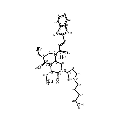 CC(C)C[C@H]1CN(C(=O)/C=C/c2nc3ccccc3s2)[C@H]2CN(C3CCN(CCCCO)C3)C(=O)[C@H](CC(C)(C)C)N2C1=O